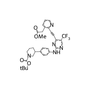 COC(=O)Cc1cccnc1C#Cc1nc(Nc2ccc(C3CCCN(C(=O)OC(C)(C)C)C3)cc2)ncc1C(F)(F)F